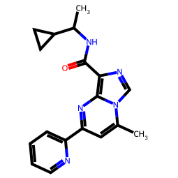 Cc1cc(-c2ccccn2)nc2c(C(=O)NC(C)C3CC3)ncn12